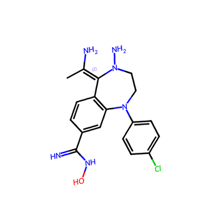 C/C(N)=C1\c2ccc(C(=N)NO)cc2N(c2ccc(Cl)cc2)CCN1N